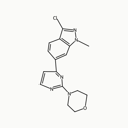 Cn1nc(Cl)c2ccc(-c3c[c]nc(N4CCOCC4)n3)cc21